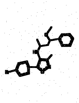 COC(CC(C)Nc1c(C)noc1-c1ccc(Br)cc1)c1ccccc1